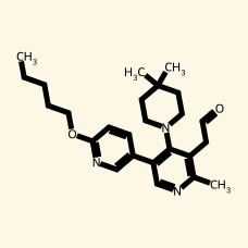 CCCCCOc1ccc(-c2cnc(C)c(CC=O)c2N2CCC(C)(C)CC2)cn1